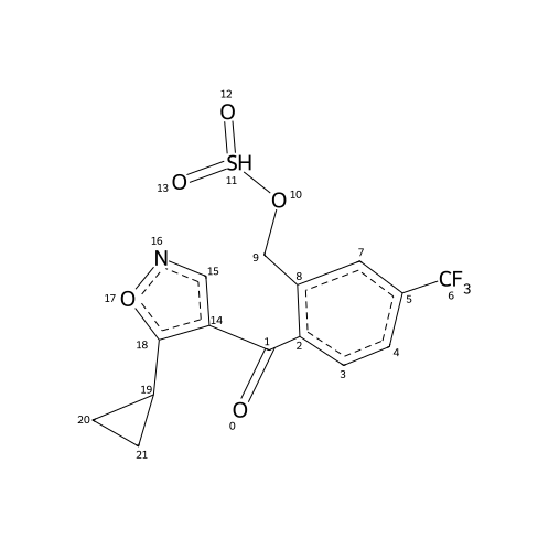 O=C(c1ccc(C(F)(F)F)cc1CO[SH](=O)=O)c1cnoc1C1CC1